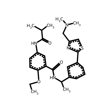 CCOc1ccc(NC(=O)C(C)C)cc1C(=O)NC(C)c1cccc(-c2nc(CN(C)C)cs2)c1